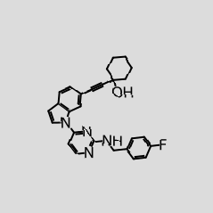 OC1(C#Cc2ccc3ccn(-c4ccnc(NCc5ccc(F)cc5)n4)c3c2)CCCCC1